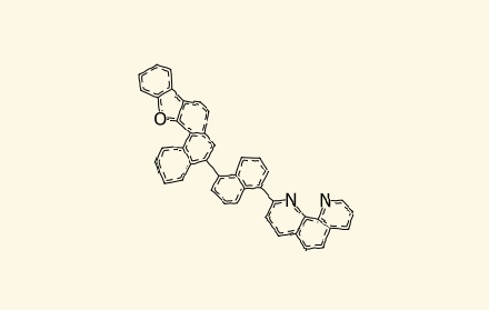 c1cnc2c(c1)ccc1ccc(-c3cccc4c(-c5cc6ccc7c8ccccc8oc7c6c6ccccc56)cccc34)nc12